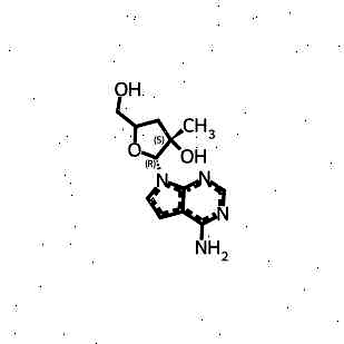 C[C@]1(O)CC(CO)O[C@H]1n1ccc2c(N)ncnc21